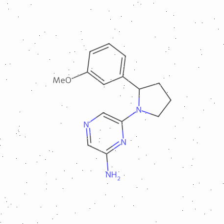 COc1cccc(C2CCCN2c2cncc(N)n2)c1